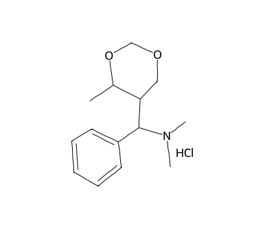 CC1OCOCC1C(c1ccccc1)N(C)C.Cl